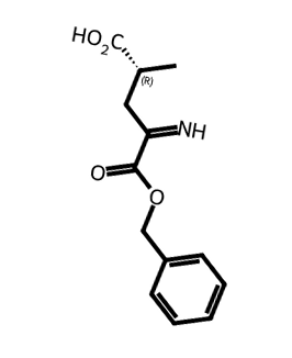 C[C@H](CC(=N)C(=O)OCc1ccccc1)C(=O)O